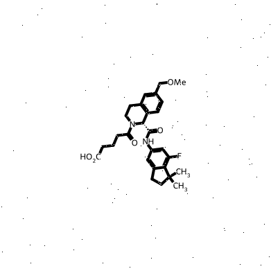 COCc1ccc2c(c1)CCN(C(=O)CCCC(=O)O)[C@H]2C(=O)Nc1cc(F)c2c(c1)CCC2(C)C